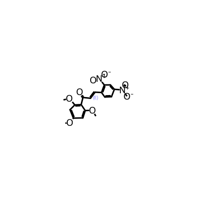 COc1cc(OC)c(C(=O)/C=C/c2ccc([N+](=O)[O-])cc2[N+](=O)[O-])c(OC)c1